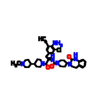 C#Cc1cc(C[C@@H](NC(=O)N2CCC(N3CCc4ccccc4NC3=O)CC2)C(=O)N2CCC(C3CCN(C)CC3)CC2)cc(Cl)c1N